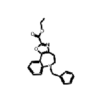 CCOC(=O)c1nc2c(o1)-c1ccccc1N(Cc1ccccc1)CC2